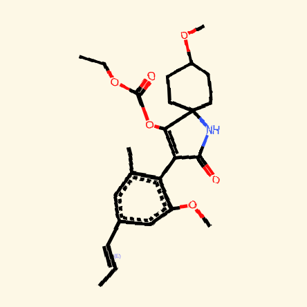 C/C=C/c1cc(C)c(C2=C(OC(=O)OCC)C3(CCC(OC)CC3)NC2=O)c(OC)c1